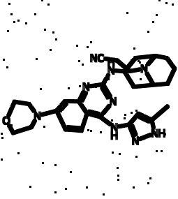 Cc1cc(Nc2nc(NC3CC4CCCC(C3)N4CCC#N)nc3cc(N4CCOCC4)ccc23)n[nH]1